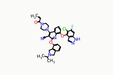 C=CC(=O)N1CCN(c2c(C#N)c(Oc3cccc4c3CN(C(C)C)C4)nc3c(Oc4c(Cl)c(F)cc5[nH]ncc45)cccc23)CC1